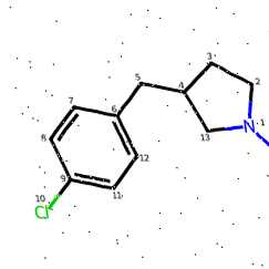 CN1CCC(Cc2ccc(Cl)cc2)C1